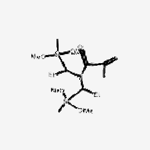 C=C(C)C(=O)N(C(CC)[Si](C)(OC)OC)C(CC)[Si](C)(OC)OC